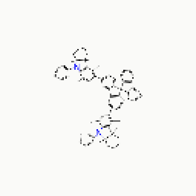 Cc1cc(-c2ccc3c(c2)-c2cc(-c4cc(C)c5c(c4C)C4(C)CCCCC4(C)N5c4ccccc4)ccc2C3(c2ccccc2)c2ccccc2)c(C)c2c1N(c1ccccc1)C1(C)CCCCC21C